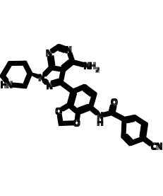 N#Cc1ccc(C(=O)Nc2ccc(-c3nn([C@@H]4CCCNC4)c4ncnc(N)c34)c3c2OCO3)cc1